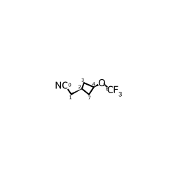 N#CC[C@H]1C[C@@H](OC(F)(F)F)C1